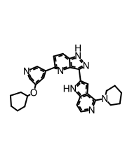 c1cc2[nH]c(-c3n[nH]c4ccc(-c5cncc(OC6CCCCC6)c5)nc34)cc2c(N2CCCCC2)n1